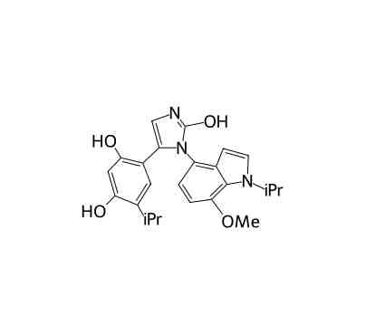 COc1ccc(-n2c(-c3cc(C(C)C)c(O)cc3O)cnc2O)c2ccn(C(C)C)c12